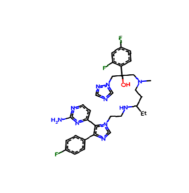 CCC(CCN(C)CC(O)(Cn1cncn1)c1ccc(F)cc1F)NCCn1cnc(-c2ccc(F)cc2)c1-c1ccnc(N)n1